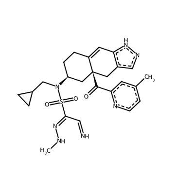 CN/N=C(\C=N)S(=O)(=O)N(CC1CC1)[C@H]1CCC2=Cc3[nH]ncc3C[C@]2(C(=O)c2cc(C)ccn2)C1